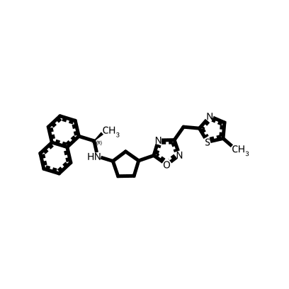 Cc1cnc(Cc2noc(C3CCC(N[C@H](C)c4cccc5ccccc45)C3)n2)s1